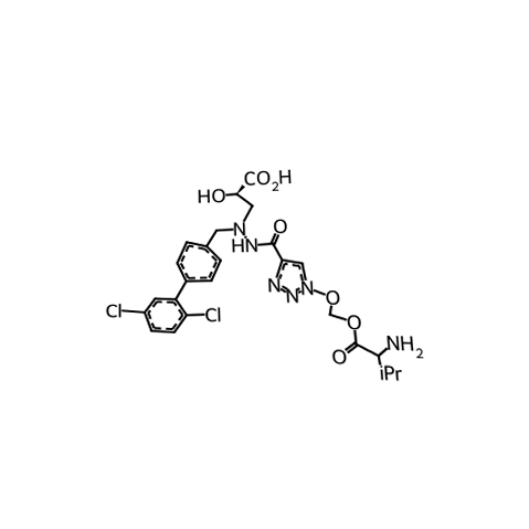 CC(C)C(N)C(=O)OCOn1cc(C(=O)NN(Cc2ccc(-c3cc(Cl)ccc3Cl)cc2)C[C@@H](O)C(=O)O)nn1